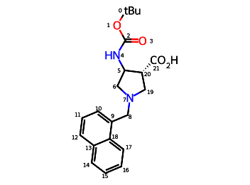 CC(C)(C)OC(=O)NC1CN(Cc2cccc3ccccc23)C[C@H]1C(=O)O